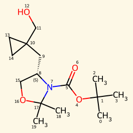 CC(C)(C)OC(=O)N1[C@@H](CC2(CO)CC2)COC1(C)C